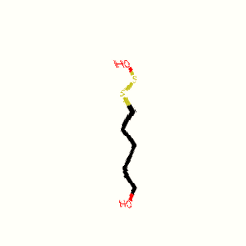 OCCCCCSSO